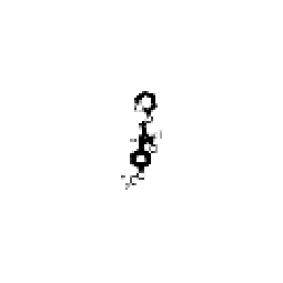 C[C@]1(c2ccc(OC(F)(F)F)cc2)C(COC2CCCCO2)C1(Cl)Cl